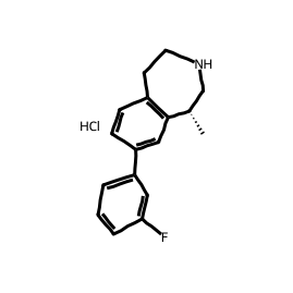 C[C@H]1CNCCc2ccc(-c3cccc(F)c3)cc21.Cl